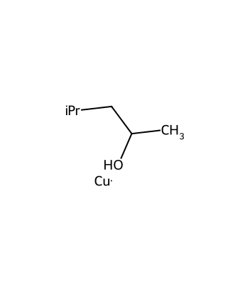 CC(C)CC(C)O.[Cu]